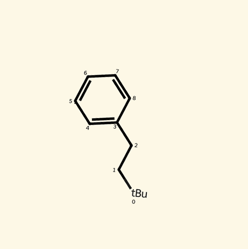 CC(C)(C)CCc1c[c]ccc1